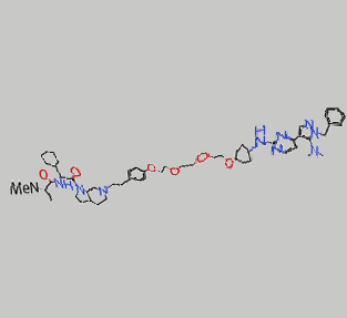 CN[C@@H](C)C(=O)N[C@H](C(=O)N1CCC2CCN(CCc3ccc(OCCOCCOCCO[C@H]4CC[C@H](Nc5nccc(-c6cnn(Cc7ccccc7)c6N(C)C)n5)CC4)cc3)CC21)C1CCCCC1